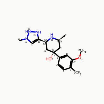 C[C@H]1C[C@@](O)(c2ccc(C(F)(F)F)c(OC(F)(F)F)c2)C[C@@H](C2=CN(C)NN2)N1